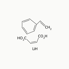 C=Cc1ccccc1.O=C(O)/C=C\C(=O)O.[LiH]